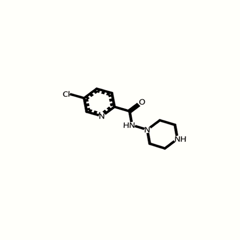 O=C(NN1CCNCC1)c1ccc(Cl)cn1